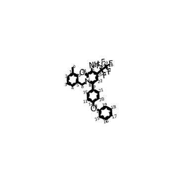 Cc1cccc(Cn2c(-c3ccc(Oc4ccccc4)cc3)cc(C(F)(F)C(F)(F)F)c(N)c2=O)c1